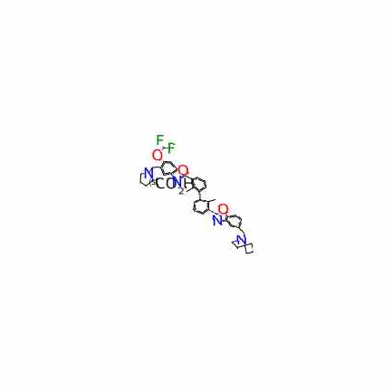 Cc1c(-c2nc3cc(CN4CCC45CCC5)ccc3o2)cccc1-c1cccc(-c2nc3cc(CN4CCC[C@H]4C(=O)O)c(OC(F)F)cc3o2)c1C